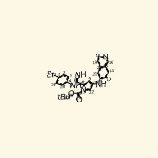 CCc1ccc(NC(=N)c2cc(Nc3ccc4cnccc4c3)cn2C(=O)OC(C)(C)C)cc1